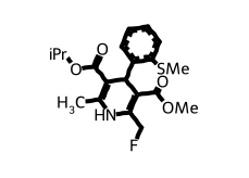 COC(=O)C1=C(CF)NC(C)=C(C(=O)OC(C)C)C1c1ccccc1SC